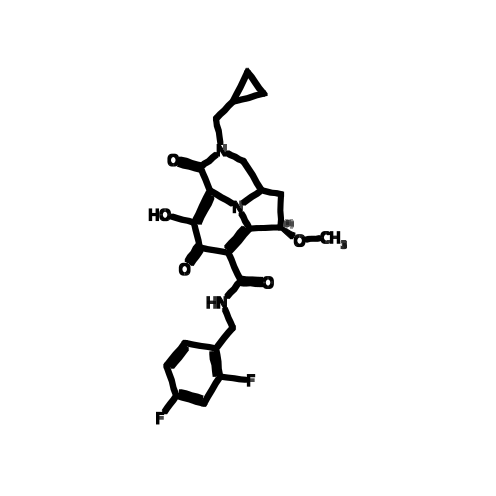 CO[C@@H]1CC2CN(CC3CC3)C(=O)c3c(O)c(=O)c(C(=O)NCc4ccc(F)cc4F)c1n32